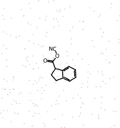 N#COC(=O)C1CCc2ccccc21